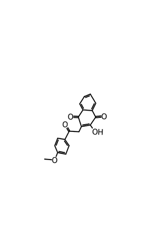 COc1ccc(C(=O)CC2=C(O)C(=O)c3ccccc3C2=O)cc1